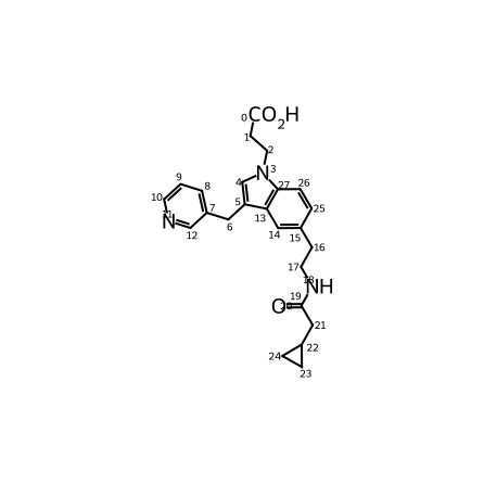 O=C(O)CCn1cc(Cc2cccnc2)c2cc(CCNC(=O)CC3CC3)ccc21